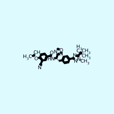 CC(C)Oc1ccc(C(=O)N[C@@H](Cc2ccc(-c3nc(C(C)(C)C)n(C)n3)cc2)c2ncon2)cc1C#N